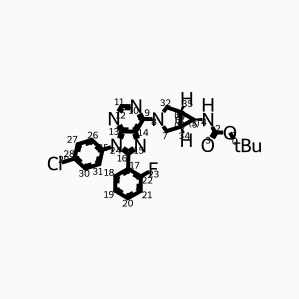 CC(C)(C)OC(=O)N[C@H]1[C@@H]2CN(c3ncnc4c3nc(-c3ccccc3F)n4-c3ccc(Cl)cc3)C[C@@H]21